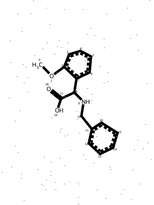 COc1ccccc1C(NCc1ccccc1)C(=O)O